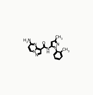 Cc1cc(NC(=O)c2cnn3ccc(N)nc23)n(-c2ccccc2C)n1